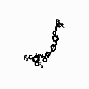 CCN(CC)CCOc1ccc(CN2CCN(C3CN(C(=O)Nc4cc(C(F)(F)F)cc(C(F)(F)F)c4)C3)CC2)cc1